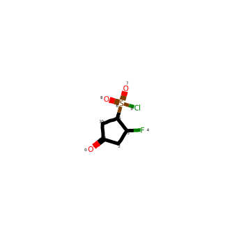 O=C1CC(F)C(S(=O)(=O)Cl)C1